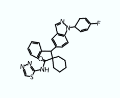 O=C(Nc1nncs1)C1(C(c2ccccc2)c2ccc3c(cnn3C3C=CC(F)=CC3)c2)CCCCC1